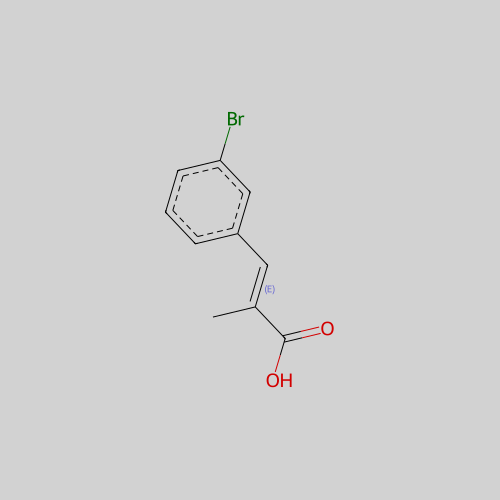 C/C(=C\c1cccc(Br)c1)C(=O)O